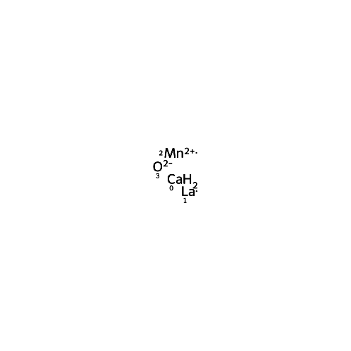 [CaH2].[La].[Mn+2].[O-2]